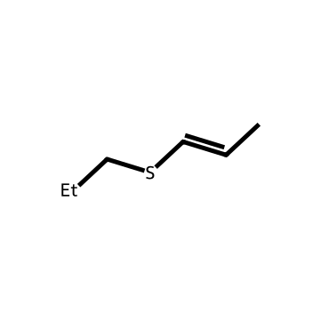 CC=CSCCC